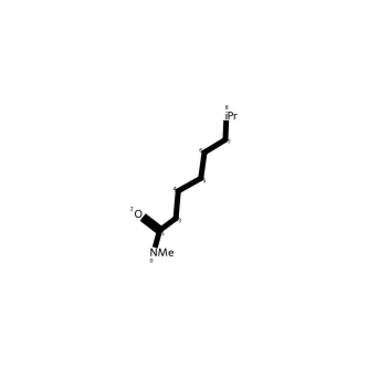 [CH2]NC(=O)CCCCCC(C)C